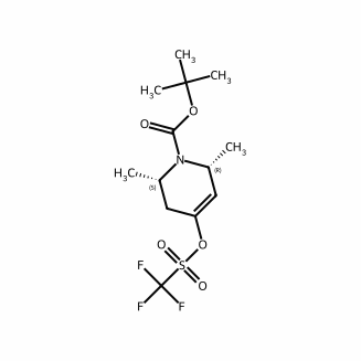 C[C@@H]1C=C(OS(=O)(=O)C(F)(F)F)C[C@H](C)N1C(=O)OC(C)(C)C